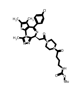 Cc1sc2c(c1C)C(c1ccc(Cl)cc1)=N[C@@H](CC(=O)N1CCN(C(=O)CCCNC(=O)OC(C)(C)C)CC1)c1nnc(C)n1-2